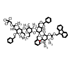 CCC1O[C@@H](O[C@@H]2C(CC)O[C@@H](OCc3ccccc3)C(NC(=O)OCC(Cl)(Cl)Cl)[C@H]2C)C(C)[C@@H](C)[C@@H]1O[C@@H]1OC2COC(c3ccccc3)O[C@H]2[C@H](O[C@@H]2OC(CC)[C@H](C)[C@@H](C)C2OC(=O)OCC2c3ccccc3-c3ccccc32)C1OCc1ccccc1